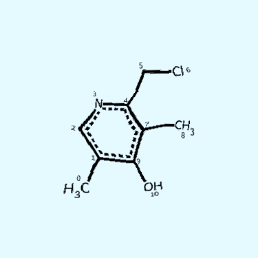 Cc1cnc(CCl)c(C)c1O